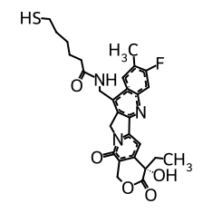 CC[C@@]1(O)C(=O)OCc2c1cc1n(c2=O)Cc2c-1nc1cc(F)c(C)cc1c2CNC(=O)CCCCCS